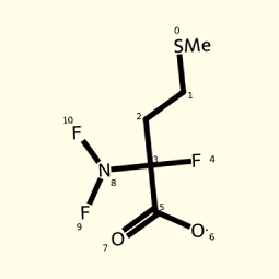 CSCCC(F)(C([O])=O)N(F)F